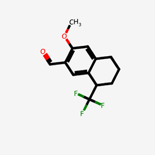 COc1cc2c(cc1C=O)C(C(F)(F)F)CCC2